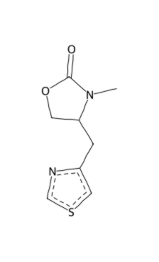 CN1C(=O)OCC1Cc1cscn1